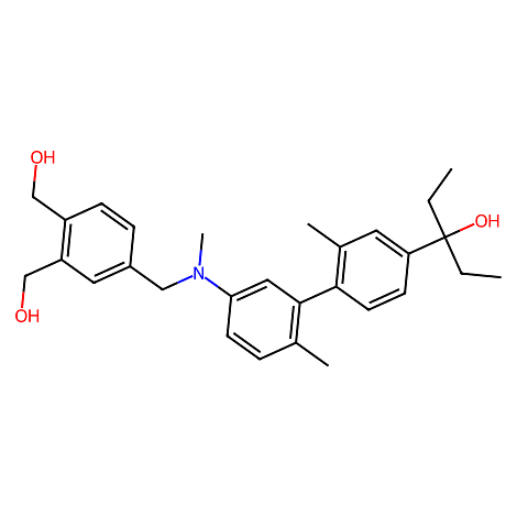 CCC(O)(CC)c1ccc(-c2cc(N(C)Cc3ccc(CO)c(CO)c3)ccc2C)c(C)c1